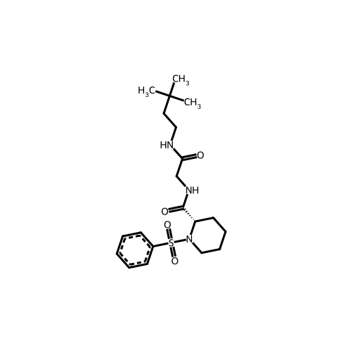 CC(C)(C)CCNC(=O)CNC(=O)[C@@H]1CCCCN1S(=O)(=O)c1ccccc1